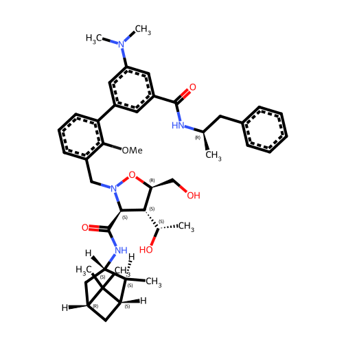 COc1c(CN2O[C@@H](CO)[C@H]([C@H](C)O)[C@H]2C(=O)N[C@H]2C[C@H]3C[C@@H]([C@@H]2C)C3(C)C)cccc1-c1cc(C(=O)N[C@H](C)Cc2ccccc2)cc(N(C)C)c1